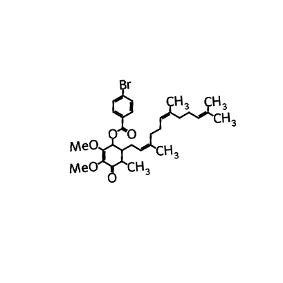 COC1=C(OC)C(OC(=O)c2ccc(Br)cc2)C(CC=C(C)CCC=C(C)CCC=C(C)C)C(C)C1=O